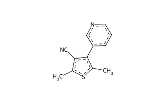 Cc1sc(C)c(-c2cccnc2)c1C#N